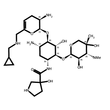 CN[C@@H]1[C@@H](O)[C@@H](O[C@@H]2[C@@H](O)[C@H](O[C@H]3OC(CNCC4CC4)=CC[C@H]3N)[C@@H](N)C[C@H]2NC(=O)C2(O)CCNC2)OC[C@]1(C)O